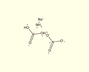 N.O=C(O)O.O=[N+]([O-])[O-].[Na+]